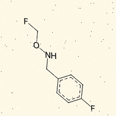 FCONCc1ccc(F)cc1